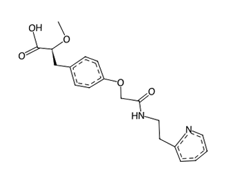 CO[C@@H](Cc1ccc(OCC(=O)NCCc2ccccn2)cc1)C(=O)O